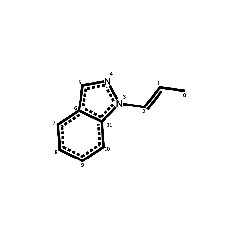 CC=Cn1ncc2ccccc21